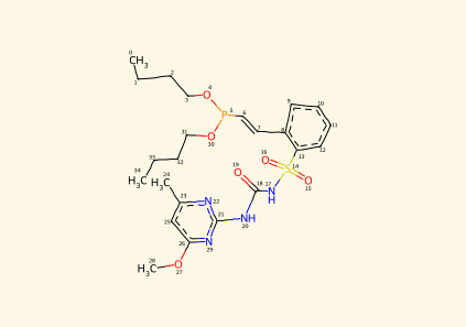 CCCCOP(C=Cc1ccccc1S(=O)(=O)NC(=O)Nc1nc(C)cc(OC)n1)OCCCC